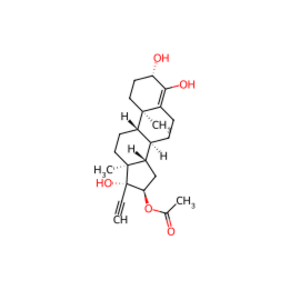 C#C[C@]1(O)[C@H](OC(C)=O)C[C@H]2[C@@H]3CCC4=C(O)[C@@H](O)CC[C@]4(C)[C@H]3CC[C@@]21C